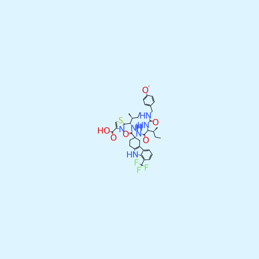 CC[C@H](C)[C@H](NC(=O)NCc1ccc(OC)cc1)C(=O)N[C@@]1(C(=O)N[C@H](c2nc(C(=O)O)cs2)[C@@H](C)CC)CCc2[nH]c3c(C(F)(F)F)cccc3c2C1